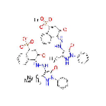 Cc1[nH]n(-c2ccccc2)c(=O)c1N/N=C1/C(=O)C=C(S(=O)(=O)[O-])c2ccccc21.Cc1[nH]n(-c2ccccc2)c(=O)c1N/N=C1\C(=O)C=C(S(=O)(=O)[O-])c2ccccc21.[Cr].[Na+].[Na+]